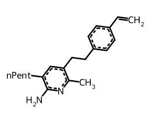 C=Cc1ccc(CCc2cc(CCCCC)c(N)nc2C)cc1